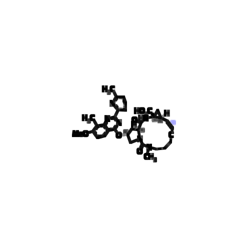 COc1ccc2c(O[C@@H]3C[C@H]4C(=O)N[C@]5(C(=O)O)C[C@H]5/C=C\CCCCN(C)C(=O)N4C3)nc(-c3cccc(C)n3)nc2c1C